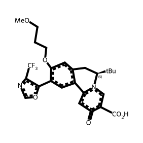 COCCCOc1cc2c(cc1-c1ocnc1C(F)(F)F)-c1cc(=O)c(C(=O)O)cn1[C@H](C(C)(C)C)C2